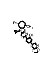 CC[C@@H]1CCCC(C)[C@H](F)[C@H](N(c2cnc(-c3ccc(-c4cnc5c(n4)OCCO5)cc3O)nn2)C2CC2)C1